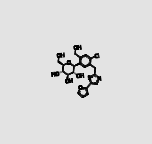 OCc1cc(Cl)c(Cc2ncc(-c3ccco3)s2)cc1[C@@H]1O[C@H](CO)[C@@H](O)[C@H](O)[C@H]1O